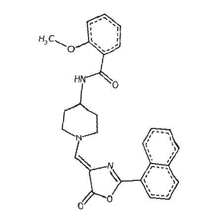 COc1ccccc1C(=O)NC1CCN(C=C2N=C(c3cccc4ccccc34)OC2=O)CC1